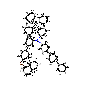 c1ccc(-c2ccc(-c3ccc(N(c4cccc(-c5ccc6c(c5)-c5cccc7cccc(c57)S6)c4)c4cccc(C5(c6ccccc6)c6ccccc6-c6ccccc65)c4)cc3)cc2)cc1